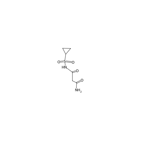 NC(=O)CC(=O)NS(=O)(=O)C1CC1